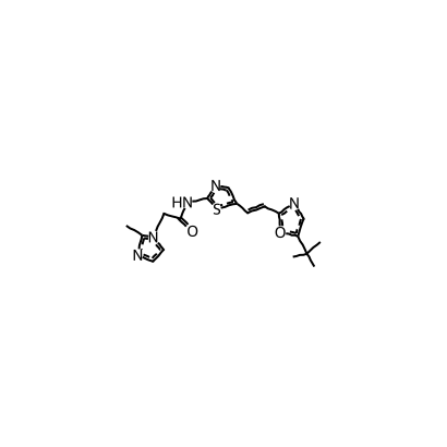 Cc1nccn1CC(=O)Nc1ncc(/C=C/c2ncc(C(C)(C)C)o2)s1